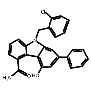 NC(=O)c1cccc2c1c1c(O)cc(-c3ccccc3)cc1n2Cc1ccccc1Cl